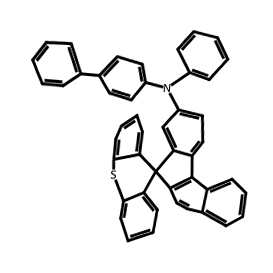 c1ccc(-c2ccc(N(c3ccccc3)c3ccc4c(c3)C3(c5ccccc5Sc5ccccc53)c3ccc5ccccc5c3-4)cc2)cc1